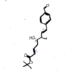 CC(C)(C)OC(=O)/C=C/C[C@H](O)C(I)/C=C/c1ccc(C=O)cc1